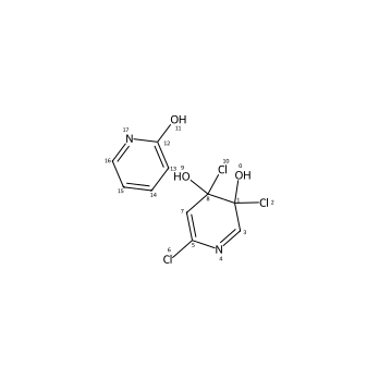 OC1(Cl)C=NC(Cl)=CC1(O)Cl.Oc1ccccn1